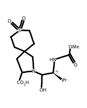 COC(=O)N[C@@H](C(C)C)C(O)N1CC2(CCS(=O)(=O)CC2)CC1C(=O)O